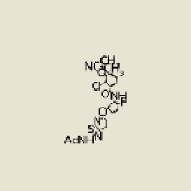 CC(=O)Nc1nc2ccc(Oc3ccc(F)c(NC(=O)c4cccc(OC(C)(C)C#N)c4Cl)c3)nc2s1